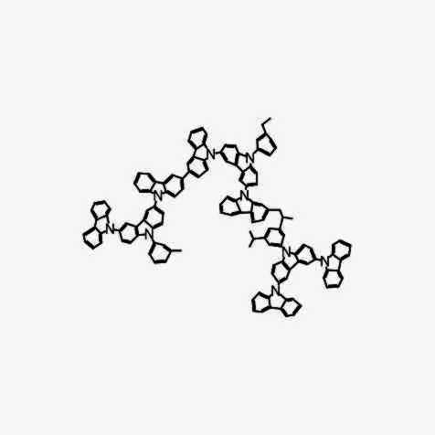 CCc1cccc(-n2c3ccc(-n4c5ccccc5c5cc(-c6ccc7c(c6)c6ccccc6n7-c6ccc7c(c6)c6cc(-n8c9ccccc9c9ccccc98)ccc6n7-c6cccc(C)c6)ccc54)cc3c3cc(-n4c5ccccc5c5ccc(CC(C)c6cc(C(C)C)cc(-n7c8ccc(-n9c%10ccccc%10c%10ccccc%109)cc8c8cc(-n9c%10ccccc%10c%10ccccc%109)ccc87)c6)cc54)ccc32)c1